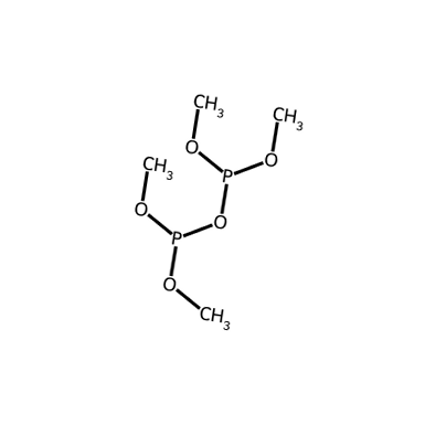 COP(OC)OP(OC)OC